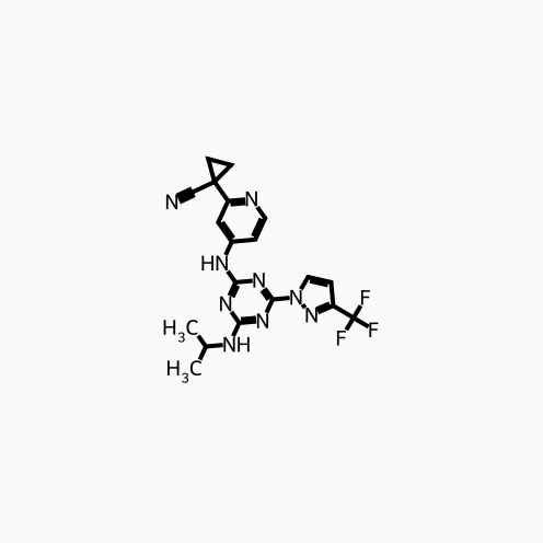 CC(C)Nc1nc(Nc2ccnc(C3(C#N)CC3)c2)nc(-n2ccc(C(F)(F)F)n2)n1